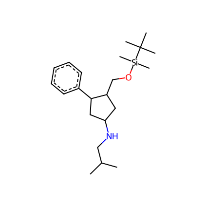 CC(C)CNC1CC(CO[Si](C)(C)C(C)(C)C)C(c2ccccc2)C1